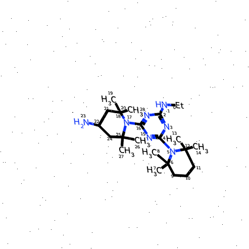 CCNc1nc(N2C(C)(C)CCCC2(C)C)nc(N2C(C)(C)CC(N)CC2(C)C)n1